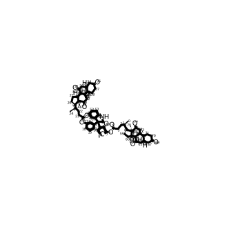 C[C@H](CCC(=O)Oc1cccc(C2(c3cccc(OC(=O)CC[C@@H](C)[C@H]4CC[C@H]5[C@@H]6C(=O)C[C@@H]7CC(=O)CC[C@]7(C)[C@H]6CC(=O)[C@]45C)c3)C(=O)Nc3ccccc32)c1)[C@H]1CC[C@H]2[C@@H]3C(=O)C[C@@H]4CC(=O)CC[C@]4(C)[C@H]3CC(=O)[C@]12C